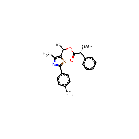 CC[C@@H](OC(=O)[C@H](OC)c1ccccc1)c1sc(-c2ccc(C(F)(F)F)cc2)nc1C